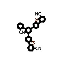 N#Cc1ccccc1-c1cc(-c2ccc3c(c2)sc2c(C#N)cccc23)cc(-c2ccc3c(c2)sc2c(C#N)cccc23)c1